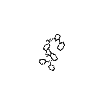 c1ccc(-c2cccc(Nc3ccc4sc5c(N(c6ccccc6)c6ccccc6)cccc5c4c3)c2)cc1